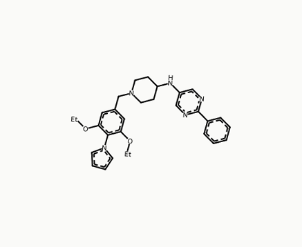 CCOc1cc(CN2CCC(Nc3cnc(-c4ccccc4)nc3)CC2)cc(OCC)c1-n1cccc1